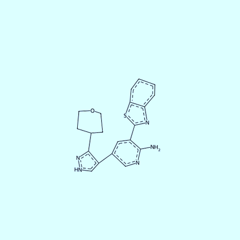 Nc1ncc(-c2c[nH]nc2C2CCOCC2)cc1-c1nc2ccccc2s1